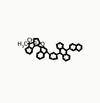 CC1(C)c2ccccc2-c2c1ccc1oc3cc(-c4cccc(-c5c6ccccc6c(-c6ccc7ccccc7c6)c6ccccc56)c4)c4ccccc4c3c21